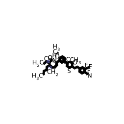 C=C/C(C)=C1C(=O)NC(c2cc(C3=CC(=S)C(CCc4ccc(C#N)c(C(F)(F)F)c4)C(=O)C3(C)C)ccc2OCC)=C=C\C=C/1CC(=C)CCC